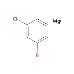 Clc1cccc(Br)c1.[Mg]